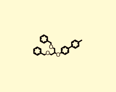 Cc1ccc(-c2ccc(OC(COCc3ccccc3)COCc3ccccc3)cc2)cc1